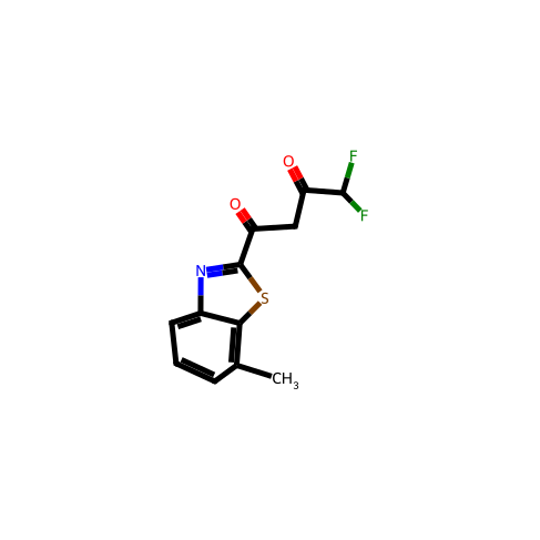 Cc1cccc2nc(C(=O)CC(=O)C(F)F)sc12